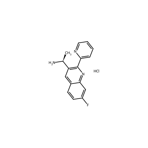 C[C@H](N)c1cc2ccc(F)cc2nc1-c1ccccn1.Cl